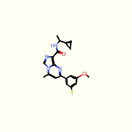 COc1cc(F)cc(-c2cc(C)n3cnc(C(=O)NC(C)C4CC4)c3n2)c1